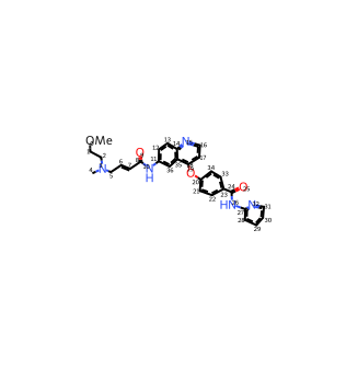 COCCN(C)CC=CC(=O)Nc1ccc2nccc(Oc3ccc(C(=O)Nc4ccccn4)cc3)c2c1